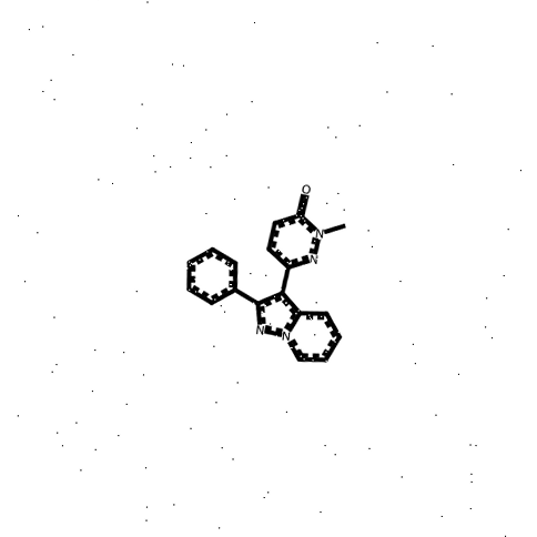 Cn1nc(-c2c(-c3ccccc3)nn3ccccc23)ccc1=O